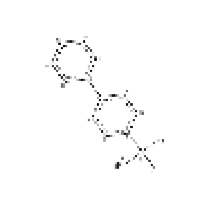 CC(C)C(C)(C)c1ccc(-c2ccccc2)cc1